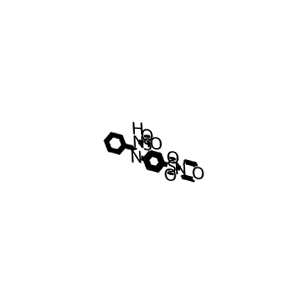 O=S1(=O)NC(C2CCCCC2)=Nc2ccc(S(=O)(=O)N3CCOCC3)cc21